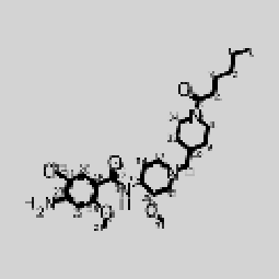 CCCCCC(=O)N1CCC(CN2CC[C@@H](NC(=O)c3cc(Cl)c(N)cc3OC)[C@@H](OC)C2)CC1